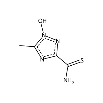 Cc1nc(C(N)=S)nn1O